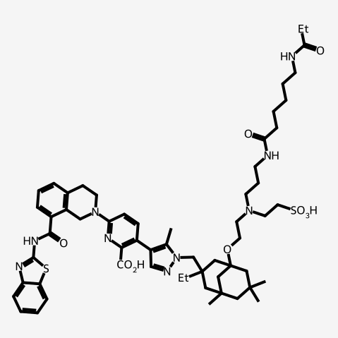 CCC(=O)NCCCCCC(=O)NCCCN(CCOC12CC(C)(C)CC(C)(CC(CC)(Cn3ncc(-c4ccc(N5CCc6cccc(C(=O)Nc7nc8ccccc8s7)c6C5)nc4C(=O)O)c3C)C1)C2)CCS(=O)(=O)O